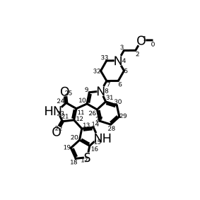 COCCN1CCC(n2cc(C3=C(c4c[nH]c5sccc45)C(=O)NC3=O)c3ccccc32)CC1